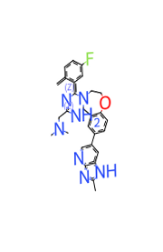 C=c1ccc(F)c/c1=C(/N=C(\N)CN(C)C)N1CCOc2ccc(-c3cnc4nc(C)[nH]c4c3)cc2C1